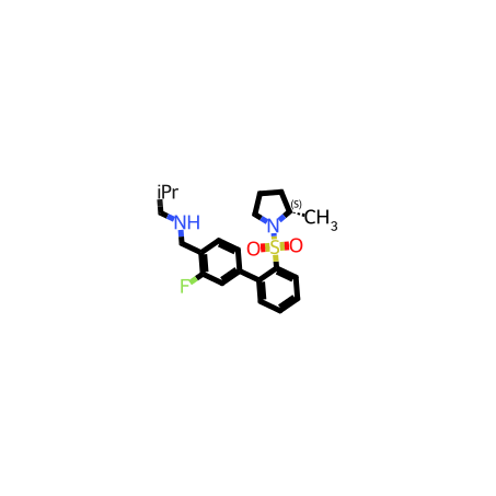 CC(C)CNCc1ccc(-c2ccccc2S(=O)(=O)N2CCC[C@@H]2C)cc1F